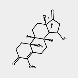 CCCC1CC(=O)[C@@]2(C)CC[C@@H]3[C@@H](CCC4=C(OC(C)=O)C(=O)CC[C@@]43C)[C@H]12